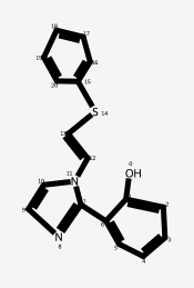 Oc1ccccc1-c1nccn1C=CSc1ccccc1